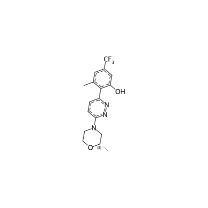 Cc1cc(C(F)(F)F)cc(O)c1-c1ccc(N2CCO[C@@H](C)C2)nn1